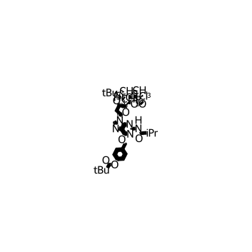 CC(C)C(=O)Nc1nc(OCc2ccc(OC(=O)C(C)(C)C)cc2)c2ncn([C@H]3C[C@H](O[Si](C)(C)C(C)(C)C)[C@@H](CO[P@](=O)(Cl)N(C)C)O3)c2n1